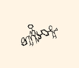 O=C(NC1CC1)c1ccc(-c2cnc3c(NCc4ccco4)nc(-c4ccccc4)cn23)cc1